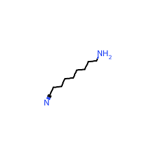 N#CCCCCCCCCN